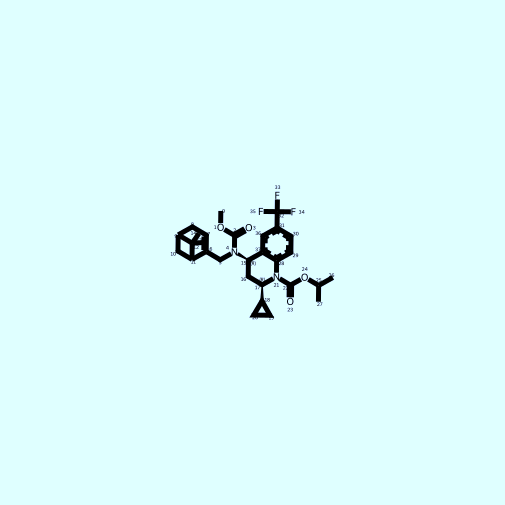 COC(=O)N(CC1=CCC2CC1C2(C)C)[C@@H]1C[C@H](C2CC2)N(C(=O)OC(C)C)c2ccc(C(F)(F)F)cc21